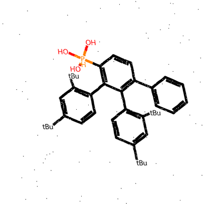 CC(C)(C)c1ccc(-c2c(-c3ccccc3)ccc([PH](O)(O)O)c2-c2ccc(C(C)(C)C)cc2C(C)(C)C)c(C(C)(C)C)c1